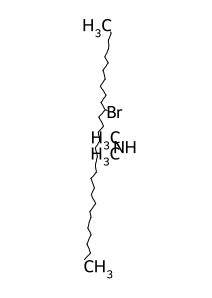 CCCCCCCCCCCCCCCCCCCCC(Br)CCCCCCCCCCC.CNC